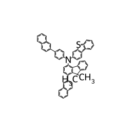 CC1(C)c2ccccc2-c2c(N(c3ccc(-c4ccc5ccccc5c4)cc3)c3ccc4c(c3)sc3ccccc34)ccc(-c3ccc4ccccc4c3)c21